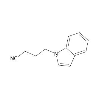 N#CCCCn1ccc2ccccc21